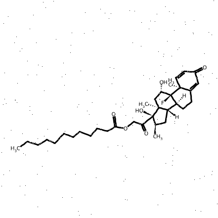 CCCCCCCCCCCC(=O)OCC(=O)[C@@]1(O)[C@H](C)C[C@H]2[C@@H]3CCC4=CC(=O)C=C[C@]4(C)[C@@]3(F)[C@@H](O)C[C@@]21C